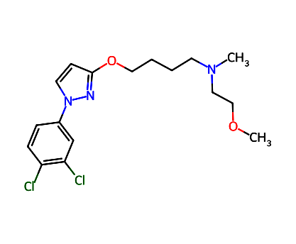 COCCN(C)CCCCOc1ccn(-c2ccc(Cl)c(Cl)c2)n1